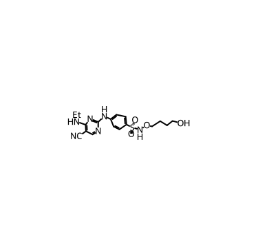 CCNc1nc(Nc2ccc(S(=O)(=O)NOCCCCO)cc2)ncc1C#N